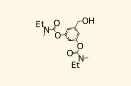 CCN(C)C(=O)Oc1cc(CO)cc(OC(=O)N(C)CC)c1